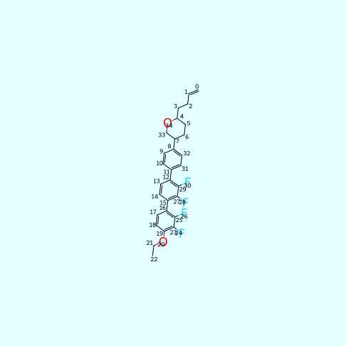 C=CCCC1CCC(c2ccc(-c3ccc(-c4ccc(OCC)c(F)c4F)c(F)c3F)cc2)CO1